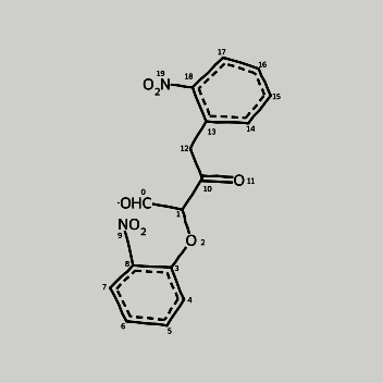 O=[C]C(Oc1ccccc1[N+](=O)[O-])C(=O)Cc1ccccc1[N+](=O)[O-]